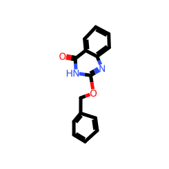 O=c1[nH]c(OCc2ccccc2)nc2ccccc12